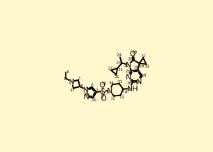 CCN1CC(n2cc(S(=O)(=O)N3CCC(Nc4ncc5c(n4)N(C(C)C4CC4)C(=O)C54CC4)CC3)cn2)C1